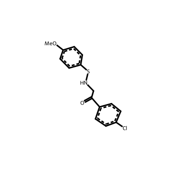 COc1ccc(SNCC(=O)c2ccc(Cl)cc2)cc1